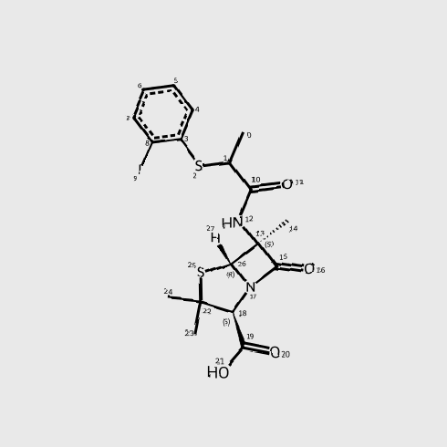 CC(Sc1ccccc1I)C(=O)N[C@@]1(C)C(=O)N2[C@@H](C(=O)O)C(C)(C)S[C@@H]21